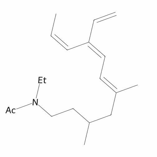 C=CC(/C=C\C)=C/C=C(\C)CC(C)CCN(CC)C(C)=O